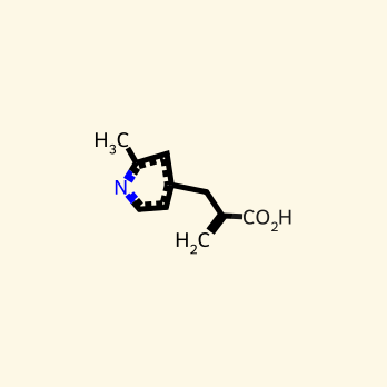 C=C(Cc1ccnc(C)c1)C(=O)O